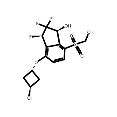 O=S(=O)(CO)c1ccc(O[C@H]2C[C@H](O)C2)c2c1[C@H](O)C(F)(F)[C@@H]2F